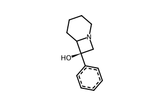 O[C@]1(c2ccccc2)CN2CCCCC21